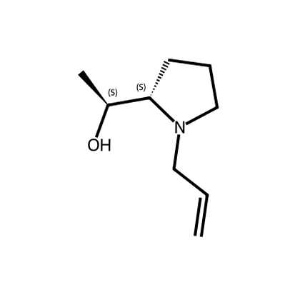 C=CCN1CCC[C@H]1[C@H](C)O